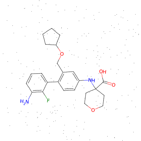 Nc1cccc(-c2ccc(NC3(C(=O)O)CCOCC3)cc2COC2CCCC2)c1F